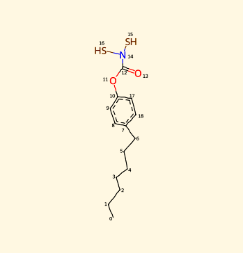 CCCCCCCc1ccc(OC(=O)N(S)S)cc1